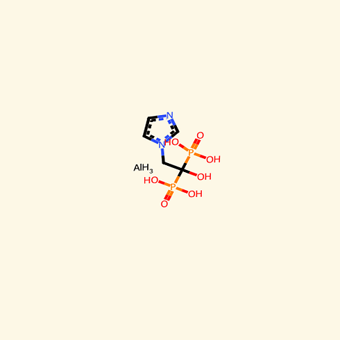 O=P(O)(O)C(O)(Cn1ccnc1)P(=O)(O)O.[AlH3]